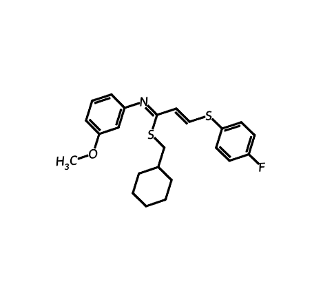 COc1cccc(N=C(C=CSc2ccc(F)cc2)SCC2CCCCC2)c1